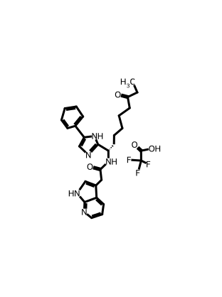 CCC(=O)CCCCC[C@H](NC(=O)Cc1c[nH]c2ncccc12)c1ncc(-c2ccccc2)[nH]1.O=C(O)C(F)(F)F